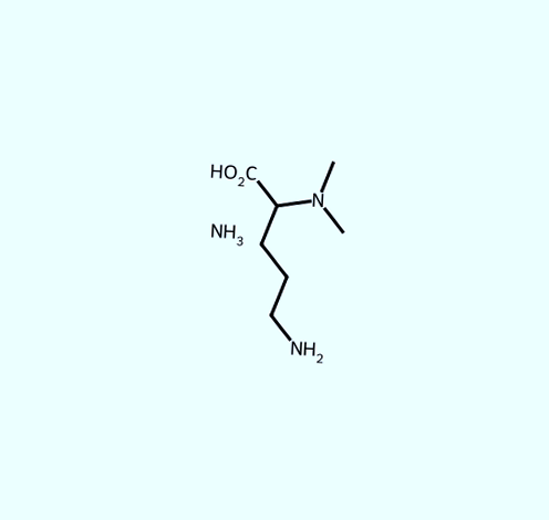 CN(C)C(CCCN)C(=O)O.N